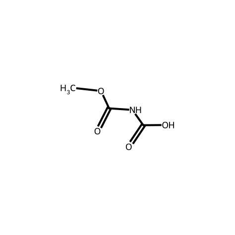 COC(=O)NC(=O)O